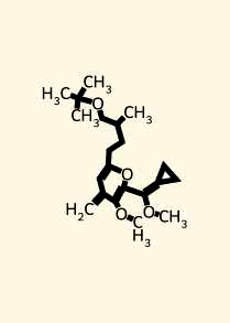 C=C1C=C(CCC(C)COC(C)(C)C)OC(C(OC)=C2CC2)=C1OC